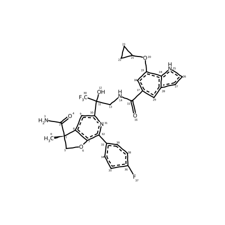 C[C@]1(C(N)=O)COc2c1cc(C(O)(CNC(=O)c1cc(OC3CC3)c3[nH]ccc3c1)C(F)(F)F)nc2-c1ccc(F)cc1